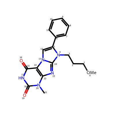 COCCCn1c(-c2ccccc2)cn2c3c(=O)[nH]c(=O)n(C)c3nc12